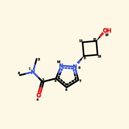 CN(C)C(=O)c1ccn([C@H]2C[C@@H](O)C2)n1